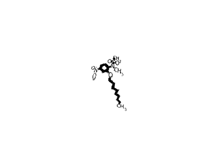 CCCCCCCCCOc1cc([N+](=O)[O-])ccc1N(C)S(C)(=O)=O